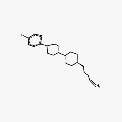 C=CCCC[C@H]1CC[C@H]([C@H]2CC[C@H](c3ccc(F)cc3)CC2)CC1